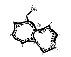 Oc1cccc2[c]nccc12